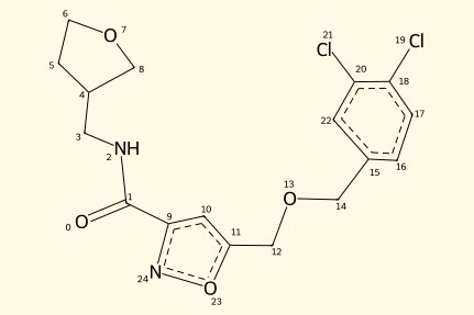 O=C(NCC1CCOC1)c1cc(COCc2ccc(Cl)c(Cl)c2)on1